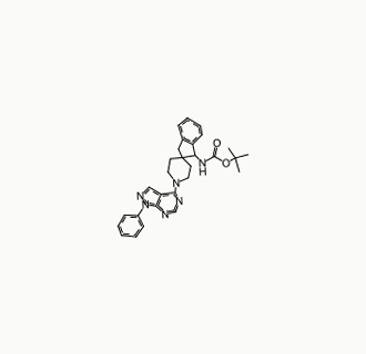 CC(C)(C)OC(=O)NC1c2ccccc2CC12CCN(c1ncnc3c1cnn3-c1ccccc1)CC2